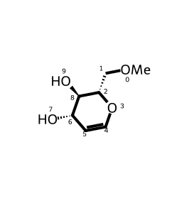 COC[C@@H]1OC=C[C@H](O)[C@H]1O